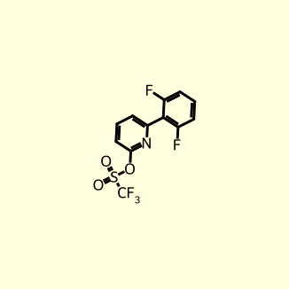 O=S(=O)(Oc1cccc(-c2c(F)cccc2F)n1)C(F)(F)F